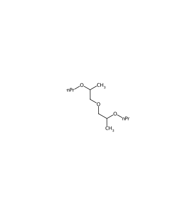 C[CH][CH]OC(C)COCC(C)OCCC